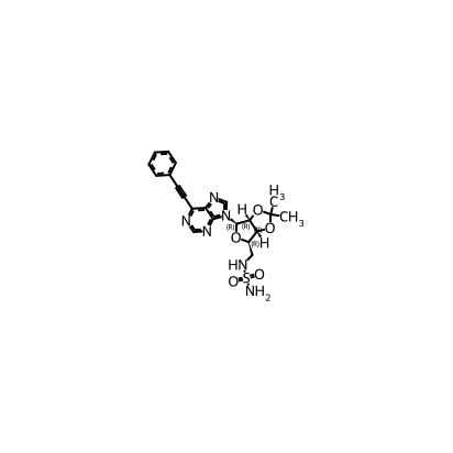 CC1(C)O[C@@H]2[C@H](O1)[C@@H](CNS(N)(=O)=O)O[C@H]2n1cnc2c(C#Cc3ccccc3)ncnc21